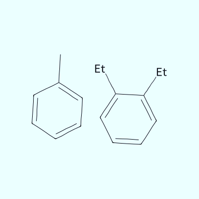 CCc1ccccc1CC.Cc1ccccc1